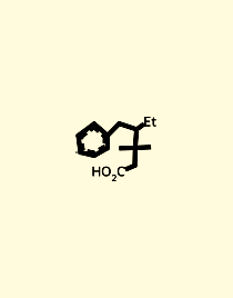 CCC(Cc1cc[c]cc1)C(C)(C)CC(=O)O